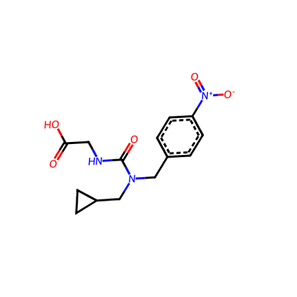 O=C(O)CNC(=O)N(Cc1ccc([N+](=O)[O-])cc1)CC1CC1